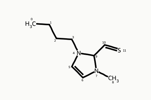 CCCCN1C=CN(C)C1C=S